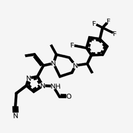 C/C=C(\c1nc(CC#N)cn1NC=O)N1CCN(C(C)c2ccc(C(F)(F)F)cc2F)CC1C